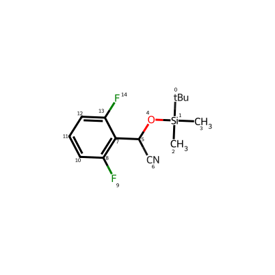 CC(C)(C)[Si](C)(C)OC(C#N)c1c(F)cccc1F